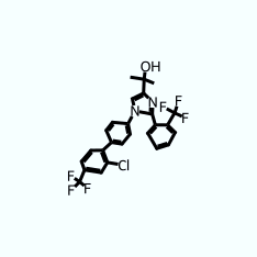 CC(C)(O)c1cn(-c2ccc(-c3ccc(C(F)(F)F)cc3Cl)cc2)c(-c2ccccc2C(F)(F)F)n1